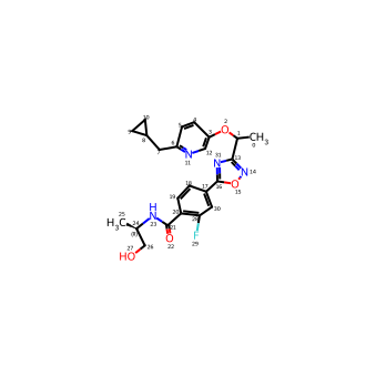 CC(Oc1ccc(CC2CC2)nc1)c1noc(-c2ccc(C(=O)N[C@H](C)CO)c(F)c2)n1